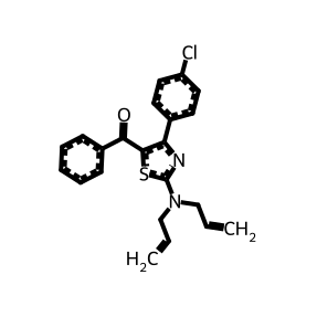 C=CCN(CC=C)c1nc(-c2ccc(Cl)cc2)c(C(=O)c2ccccc2)s1